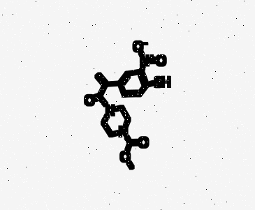 C=C(C(=O)N1CCN(C(=O)OC)CC1)c1ccc(S)c([N+](=O)[O-])c1